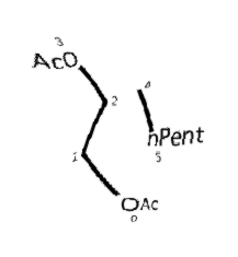 CC(=O)OCCOC(C)=O.CCCCCC